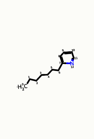 [CH2]CCCCCCc1ccccn1